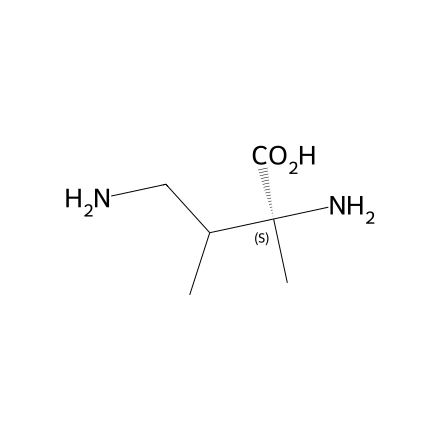 CC(CN)[C@](C)(N)C(=O)O